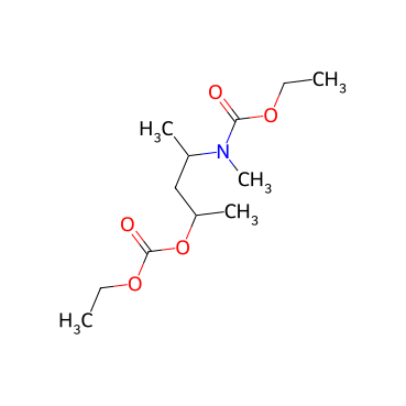 CCOC(=O)OC(C)CC(C)N(C)C(=O)OCC